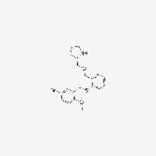 COc1ccc(Br)cc1CSc1ccccc1COCC1CCCN1